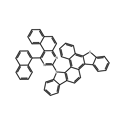 c1ccc2c(-c3nc(-n4c5ccccc5c5ccc6c7c8ccccc8sc7c7ccccc7c6c54)nc4ccc5ccccc5c34)cccc2c1